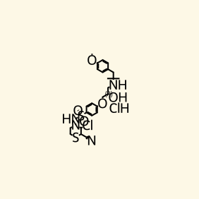 COc1ccc(CC(C)(C)NC[C@@H](O)COc2ccc(S(=O)(=O)NN3CCSC(C#N)C3Cl)cc2)cc1.Cl